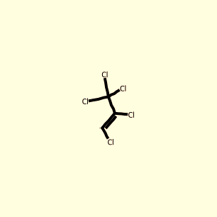 Cl/[C]=C(\Cl)C(Cl)(Cl)Cl